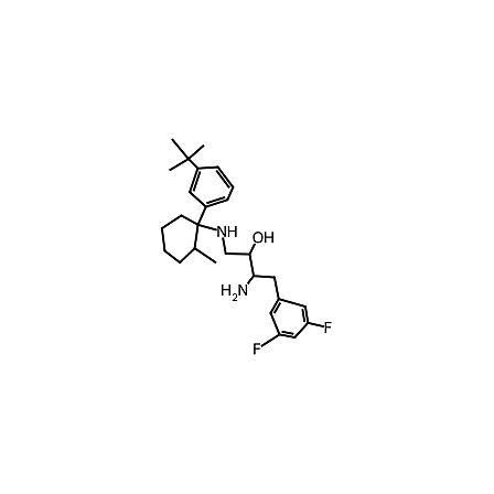 CC1CCCCC1(NCC(O)C(N)Cc1cc(F)cc(F)c1)c1cccc(C(C)(C)C)c1